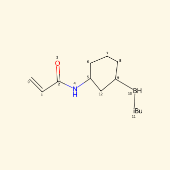 C=CC(=O)NC1CCCC(BC(C)CC)C1